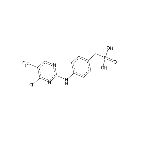 O=P(O)(O)Cc1ccc(Nc2ncc(C(F)(F)F)c(Cl)n2)cc1